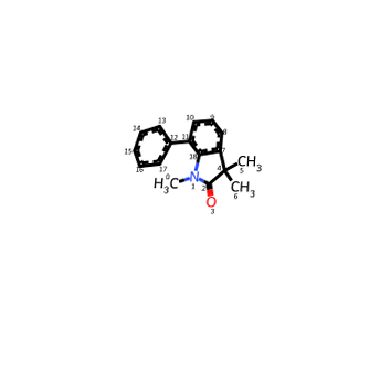 CN1C(=O)C(C)(C)c2cccc(-c3ccccc3)c21